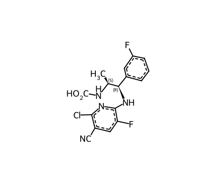 C[C@H](NC(=O)O)[C@H](Nc1nc(Cl)c(C#N)cc1F)c1cccc(F)c1